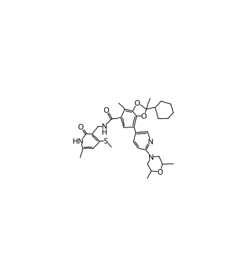 CSc1cc(C)[nH]c(=O)c1CNC(=O)c1cc(-c2ccc(N3CC(C)OC(C)C3)nc2)c2c(c1C)OC(C)(C1CCCCC1)O2